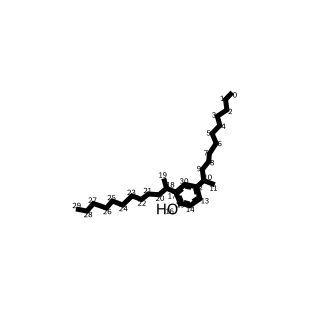 CCCCCCCCCCC(C)c1ccc(O)c(C(C)CCCCCCCCCC)c1